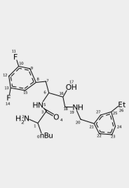 CCCCC(N)C(=O)NC(Cc1cc(F)cc(F)c1)C(O)CNCc1cccc(CC)c1